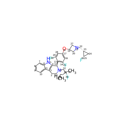 C[C@@H]1Cc2c([nH]c3ccccc23)[C@@H](c2c(F)cc(OC3CN(C[C@@H]4C[C@@H]4F)C3)cc2F)N1CC(C)(C)F